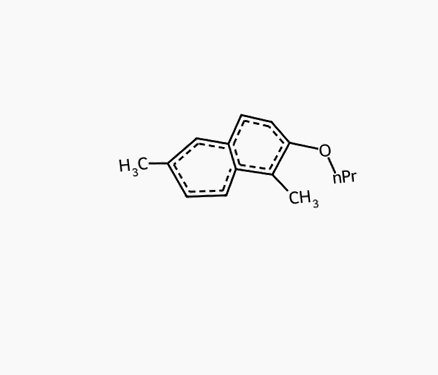 CCCOc1ccc2cc(C)ccc2c1C